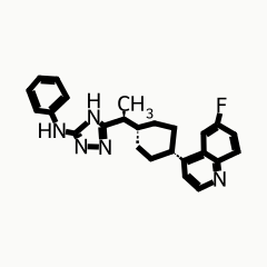 C[C@@H](c1nnc(Nc2ccccc2)[nH]1)[C@H]1CC[C@@H](c2ccnc3ccc(F)cc32)CC1